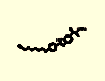 C#CCOCCCCOc1ccc(-c2nc3ccc(C(=O)N(C)OC)cc3[nH]2)cc1